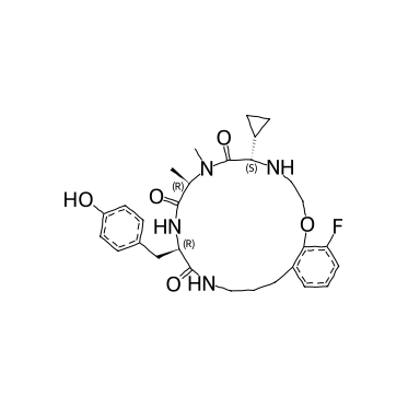 C[C@@H]1C(=O)N[C@H](Cc2ccc(O)cc2)C(=O)NCCCc2cccc(F)c2OCCN[C@@H](C2CC2)C(=O)N1C